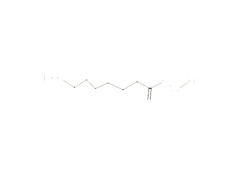 CCOOC(=O)CCCCCCC(=O)O